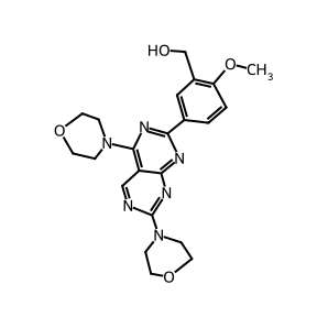 COc1ccc(-c2nc(N3CCOCC3)c3cnc(N4CCOCC4)nc3n2)cc1CO